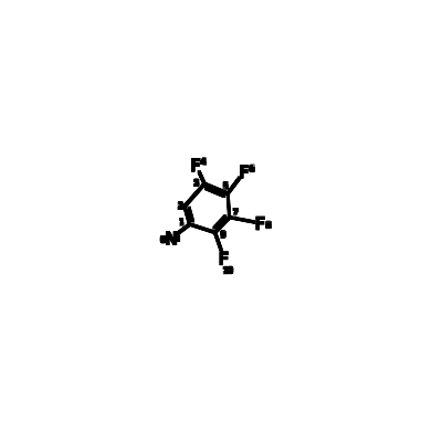 [N]c1cc(F)c(F)c(F)c1F